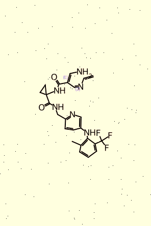 C=C/N=C\C(=C/N)C(=O)NC1(C(=O)NCc2ccc(Nc3c(C)cccc3C(F)(F)F)cn2)CC1